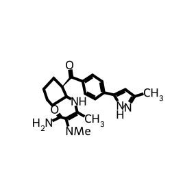 CN/C(C(N)=O)=C(\C)NC1CCCC[C@H]1C(=O)c1ccc(-c2cc(C)n[nH]2)cc1